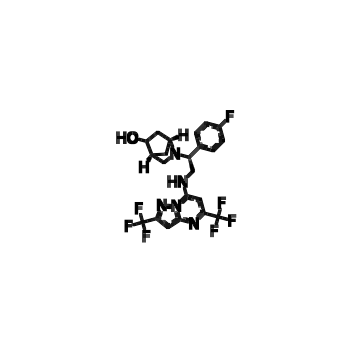 OC1C[C@H]2C[C@@H]1CN2[C@H](CNc1cc(C(F)(F)F)nc2cc(C(F)(F)F)nn12)c1ccc(F)cc1